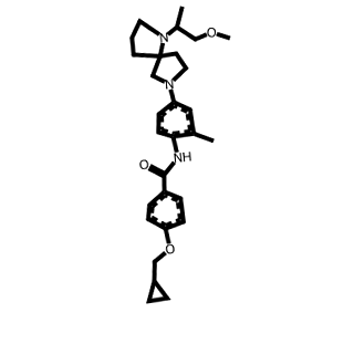 COCC(C)N1CCCC12CCN(c1ccc(NC(=O)c3ccc(OCC4CC4)cc3)c(C)c1)C2